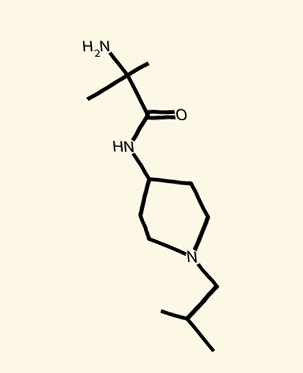 CC(C)CN1CCC(NC(=O)C(C)(C)N)CC1